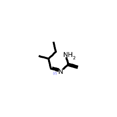 C=C(N)/N=C\C(C)CC